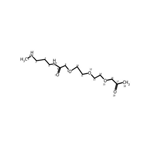 CNCCCNC(=O)COCCOCCOCC(C)=O